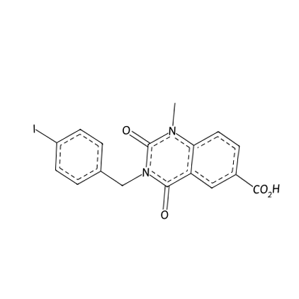 Cn1c(=O)n(Cc2ccc(I)cc2)c(=O)c2cc(C(=O)O)ccc21